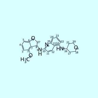 COc1cccc2c1C(Nc1ccc3c(NC4CCOCC4)cccc3n1)CO2